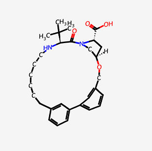 CC(C)(C)[C@@H]1NCCCCCCc2cccc(c2)-c2cccc(c2)CO[C@@H]2C[C@@H](C(=O)O)N(C2)C1=O